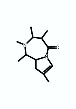 CC1=CN2C(=O)C(C)C(C)N(C)C(C)C2C1